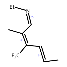 C/C=C/C(=C(C)\C=N/CC)C(F)(F)F